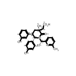 CC[C@@H](c1cccc(C)n1)N1C(=O)[C@](C)(CC(=O)O)C[C@H](c2cccc(Cl)c2)[C@H]1c1ccc(Cl)cc1